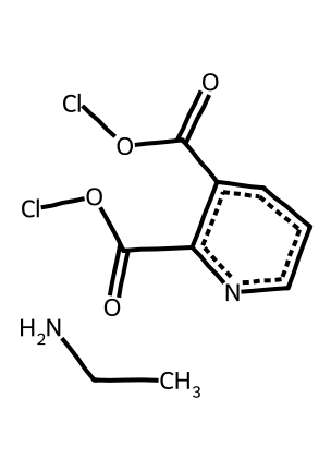 CCN.O=C(OCl)c1cccnc1C(=O)OCl